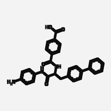 Nc1ccc(NC(=O)C(Cc2ccc(-c3ccccc3)cc2)NC(=O)c2ccc(C(=O)O)cc2)cc1